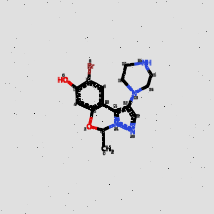 CC1Oc2cc(O)c(Br)cc2-c2c(N3CCNCC3)cnn21